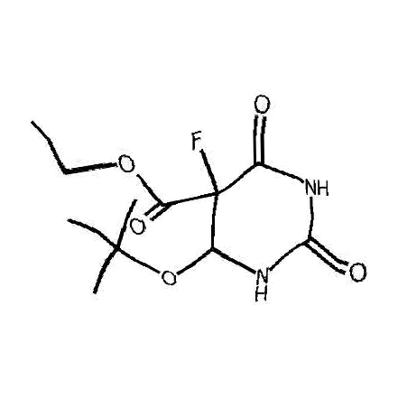 CCOC(=O)C1(F)C(=O)NC(=O)NC1OC(C)(C)C